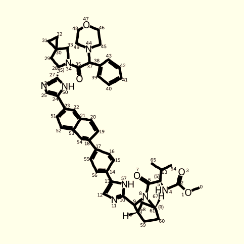 COC(=O)N[C@H](C(=O)N1C(c2ncc(-c3ccc(-c4ccc5cc(-c6cnc([C@@H]7CC8(CC8)CN7C(=O)C(c7ccccc7)N7CCOCC7)[nH]6)ccc5c4)cc3)[nH]2)[C@H]2CC[C@@H]1C2)C(C)C